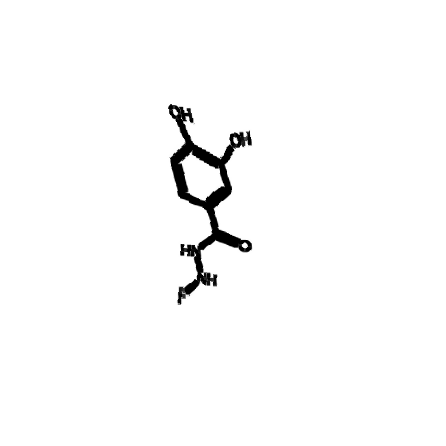 O=C(NNF)c1ccc(O)c(O)c1